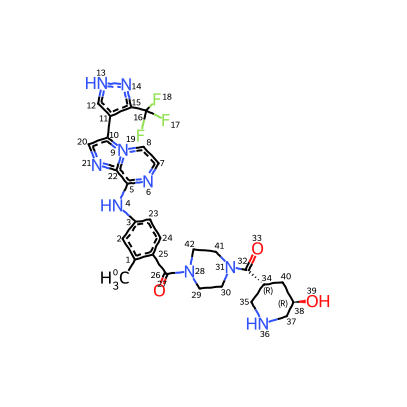 Cc1cc(Nc2nccn3c(-c4c[nH]nc4C(F)(F)F)cnc23)ccc1C(=O)N1CCN(C(=O)[C@H]2CNC[C@H](O)C2)CC1